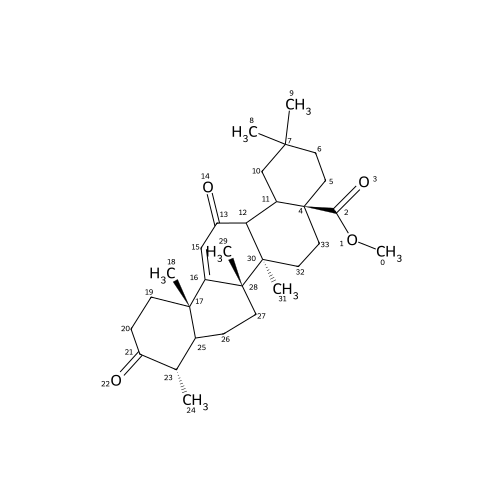 COC(=O)[C@]12CCC(C)(C)CC1C1C(=O)C=C3[C@@]4(C)CCC(=O)[C@@H](C)C4CC[C@@]3(C)[C@]1(C)CC2